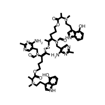 C/C(SS/C(C)=C(/CCCOC(=O)C(C)N(C)CCc1c[nH]c2cccc(O)c12)N(C=O)Cc1cnc(C)nc1N)=C(\CCCOC(=O)C(C)N(C)CCc1c[nH]c2cccc(O)c12)N(C=O)Cc1cnc(C)nc1N